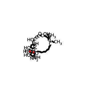 CCC[C@@H]1C/C=C/C=C/C=C/C=C/[C@H](O[C@@H]2O[C@H](C)[C@@H](O)[C@H](N)[C@@H]2O)CC2O[C@](O)(C[C@@H](O)CCCC(=O)C[C@@H](O)[C@H](CC)C(=O)O1)C[C@H](O)[C@H]2C(=O)O